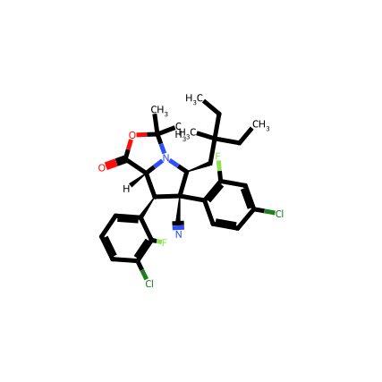 CCC(C)(CC)C[C@@H]1N2[C@@H](C(=O)OC2(C)C)[C@H](c2cccc(Cl)c2F)[C@@]1(C#N)c1ccc(Cl)cc1F